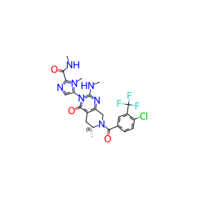 CNC(=O)c1ncc(-n2c(NC)nc3c(c2=O)C[C@@H](C)N(C(=O)c2ccc(Cl)c(C(F)(F)F)c2)C3)n1C